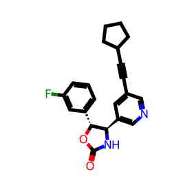 O=C1N[C@H](c2cncc(C#CC3CCCC3)c2)[C@@H](c2cccc(F)c2)O1